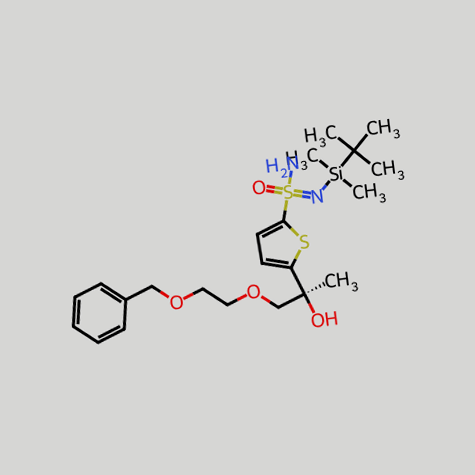 CC(C)(C)[Si](C)(C)N=S(N)(=O)c1ccc([C@@](C)(O)COCCOCc2ccccc2)s1